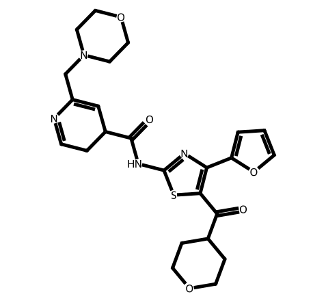 O=C(Nc1nc(-c2ccco2)c(C(=O)C2CCOCC2)s1)C1C=C(CN2CCOCC2)N=CC1